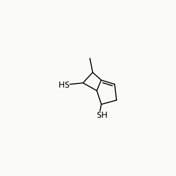 CC1C2=CCC(S)C2C1S